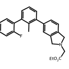 CCOC(=O)CN1Cc2ccc(-c3cccc(-c4ccccc4F)c3C)cc2C1